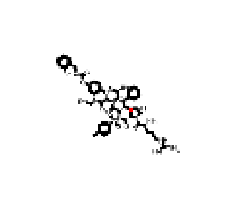 Cc1ccc(S(=O)(=O)N(C(=O)[C@@H]2CCCN2C(=O)[C@@H](N)CCCNC(=N)N)[C@H](C(=O)N(C(=O)[C@@H](N)C(C)C)[C@@H](Cc2ccc(OC(=O)OCc3ccccc3Br)cc2)C(=O)NCC(C)C)C(Cc2ccccc2)C(=O)O)cc1